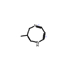 CC1C/N=C\C=C/NC1